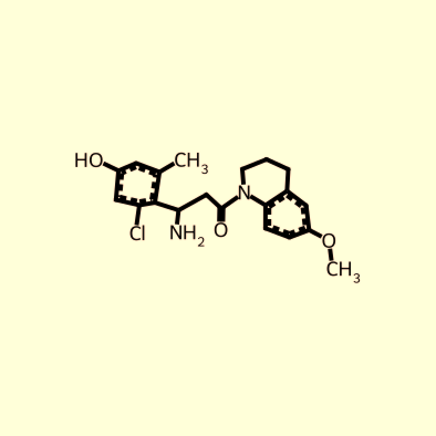 COc1ccc2c(c1)CCCN2C(=O)CC(N)c1c(C)cc(O)cc1Cl